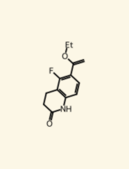 C=C(OCC)c1ccc2c(c1F)CCC(=O)N2